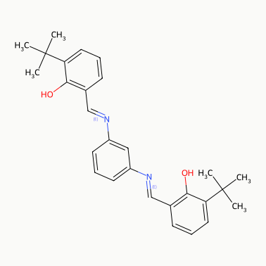 CC(C)(C)c1cccc(/C=N/c2cccc(/N=C/c3cccc(C(C)(C)C)c3O)c2)c1O